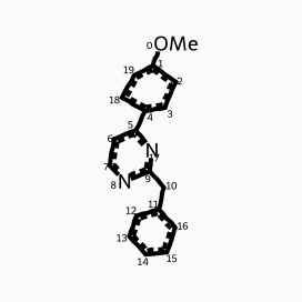 COc1ccc(-c2ccnc(Cc3ccccc3)n2)cc1